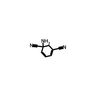 N#CC1=CC=CC(N)(C#N)C1